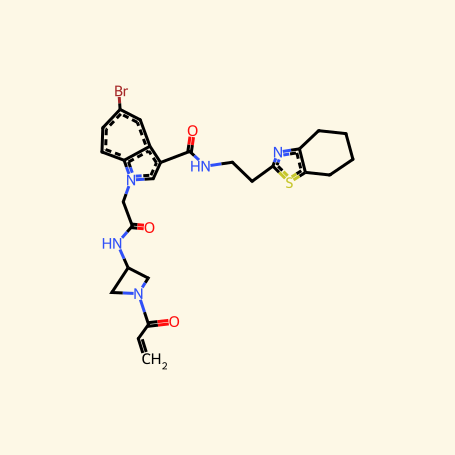 C=CC(=O)N1CC(NC(=O)Cn2cc(C(=O)NCCc3nc4c(s3)CCCC4)c3cc(Br)ccc32)C1